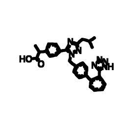 CC(C)Cc1nc(-c2ccc(C(C)C(=O)O)cc2)n(Cc2ccc(-c3ccccc3-c3nnn[nH]3)cc2)n1